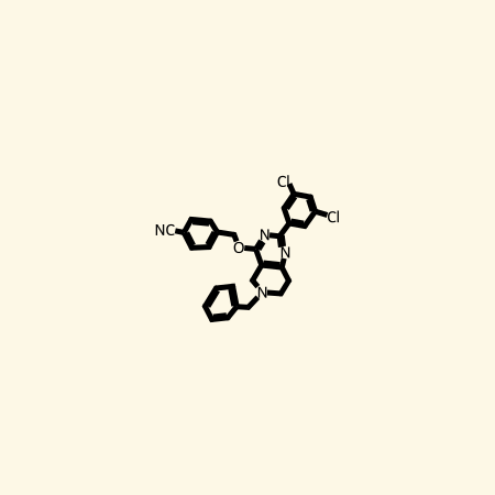 N#Cc1ccc(COc2nc(-c3cc(Cl)cc(Cl)c3)nc3c2CN(Cc2ccccc2)CC3)cc1